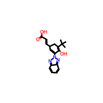 CC(C)(C)C1=C(O)C(n2nc3ccccc3n2)=CC(C=CC(=O)O)C1